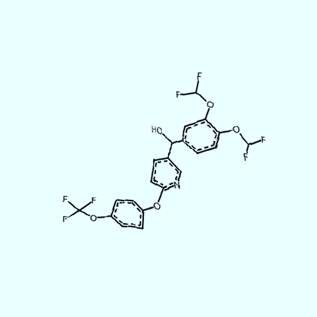 OC(c1ccc(Oc2ccc(OC(F)(F)F)cc2)nc1)c1ccc(OC(F)F)c(OC(F)F)c1